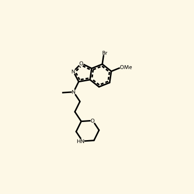 COc1ccc2c(N(C)CCC3CNCCO3)noc2c1Br